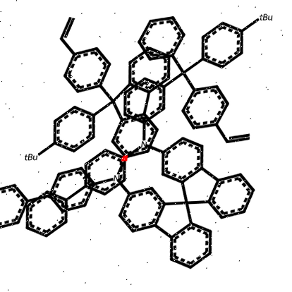 C=Cc1ccc(C(c2ccccc2)(c2ccc(C(C)(C)C)cc2)c2cccc(N(c3ccc(-c4ccccc4)cc3)c3ccc4c(c3)C3(c5ccccc5-4)c4ccccc4-c4ccc(N(c5ccc(-c6ccccc6)cc5)c5ccc6c(c5)C(c5ccc(C=C)cc5)(c5ccc(C(C)(C)C)cc5)c5ccccc5-6)cc43)c2)cc1